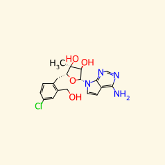 C[C@@]1(O)[C@@H](Cc2ccc(Cl)cc2CO)O[C@@H](n2ccc3c(N)ncnc32)[C@@H]1O